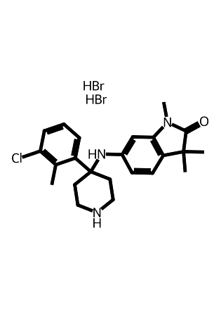 Br.Br.Cc1c(Cl)cccc1C1(Nc2ccc3c(c2)N(C)C(=O)C3(C)C)CCNCC1